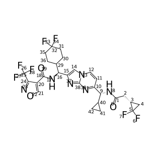 O=C(C[C@@H]1CC1(F)F)N[C@@H](c1ccn2cc([C@@H](NC(=O)c3conc3C(F)(F)F)C3CCC(F)(F)CC3)nc2n1)C1CC1